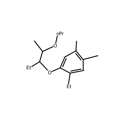 CCCOC(C)C(CC)Oc1[c]c(C)c(C)[c]c1CC